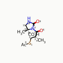 CC(=O)SC[C@@H](C)C(=O)N1C(=O)NC[C@@]1(C)C(=O)O